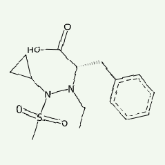 CCN([C@@H](Cc1ccccc1)C(=O)O)N(C1CC1)S(C)(=O)=O